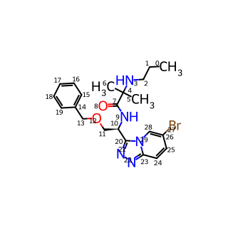 CCCNC(C)(C)C(=O)N[C@H](COCc1ccccc1)c1nnc2ccc(Br)cn12